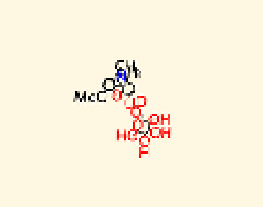 COc1ccc2c3c1OC1C(OC(=O)OC[C@H]4O[C@H](O)[C@H](O)C(O)[C@H]4O)=CCC4[C@@H](C2)N(C)CC[C@]314